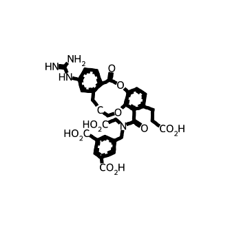 N=C(N)Nc1ccc2c(c1)CCCOc1c(ccc(CCC(=O)O)c1C(=O)N(CC(=O)O)Cc1cc(C(=O)O)cc(C(=O)O)c1)OC2=O